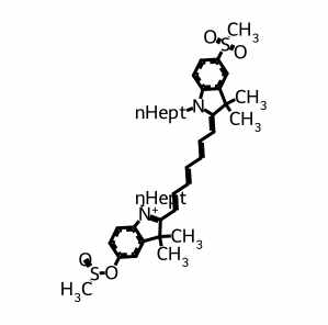 CCCCCCCN1C(=CC=CC=CC=CC2=[N+](CCCCCCC)c3ccc(OS(C)=O)cc3C2(C)C)C(C)(C)c2cc(S(C)(=O)=O)ccc21